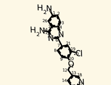 Nc1ccc2nc(-c3ccc(OCc4cccnc4)c(Cl)c3)nc(N)c2c1